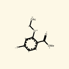 COC(=O)c1ccc(F)cc1OCOC(C)=O